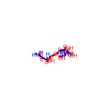 CCNC(=O)CNC(=O)CCC(NC(=O)COCCOCCNC(=O)CCC(NC(=O)C(CS(=O)(=O)O)NC(=O)CNCC(=O)O)C(=O)O)C(=O)O